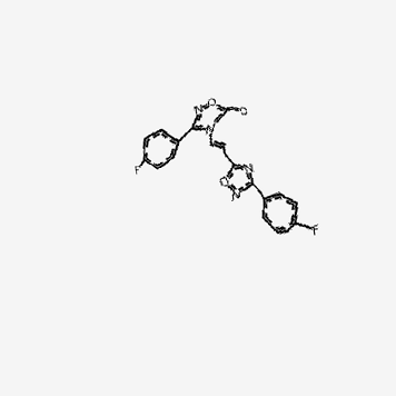 O=c1onc(-c2ccc(F)cc2)n1C=Cc1nc(-c2ccc(F)cc2)no1